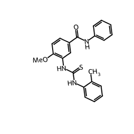 COc1ccc(C(=O)Nc2ccccc2)cc1NC(=S)Nc1ccccc1C